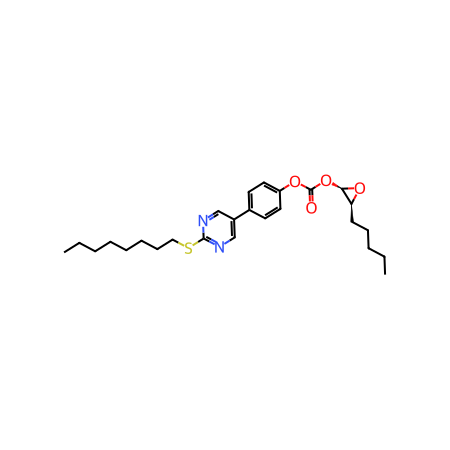 CCCCCCCCSc1ncc(-c2ccc(OC(=O)O[C@H]3O[C@H]3CCCCC)cc2)cn1